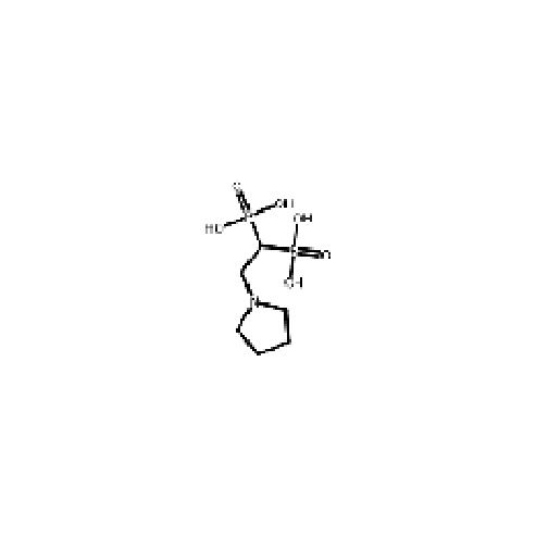 O=P(O)(O)C(CN1CCCC1)P(=O)(O)O